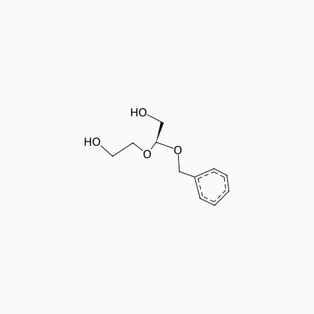 OCCO[C@@H](CO)OCc1ccccc1